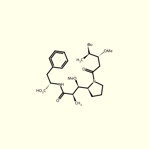 CC[C@H](C)[C@H](C)[C@@H](CC(=O)N1CCC[C@H]1[C@H](OC)[C@@H](C)C(=O)N[C@@H](CC1=C=C=CC=C1)C(=O)O)OC